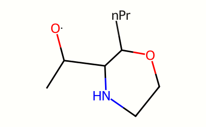 CCCC1OCCNC1C(C)[O]